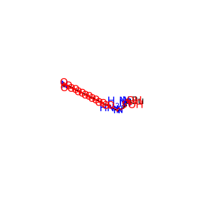 CCCCc1nc2c(N)nc3cc(CCCN4CCN(CCCCNC(=O)CCOCCOCCOCCOCCOCCOCCOCCOCCOCCOCCOCCOCCN5C(=O)C=CC5=O)CC4)ccc3c2n1CC(C)(CO)CO